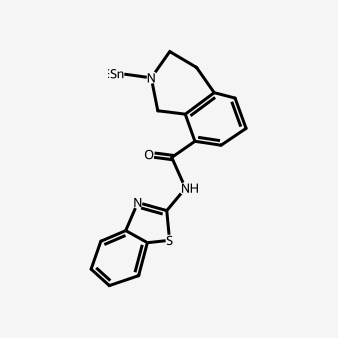 O=C(Nc1nc2ccccc2s1)c1cccc2c1C[N]([Sn])CC2